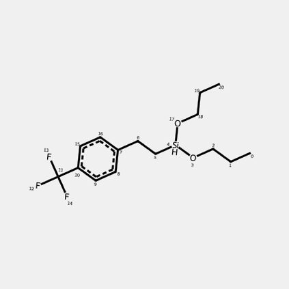 CCCO[SiH](CCc1ccc(C(F)(F)F)cc1)OCCC